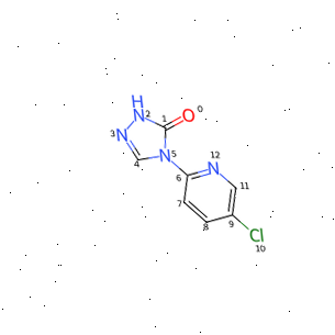 O=c1[nH]ncn1-c1ccc(Cl)cn1